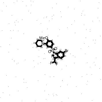 COc1ccc(S(=O)(=O)n2nc(C(F)F)c3ccc(Br)cc32)cc1N1CCCCC1